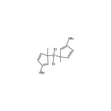 CCCCC1=C[C](C)([Zr]([CH2]C)([CH2]C)[C]2(C)C=CC(CCCC)=C2)C=C1